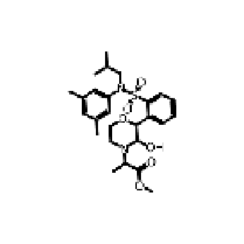 COC(=O)C(C)N1CCOC(c2ccccc2S(=O)(=O)N(CC(C)C)c2cc(C)cc(C)c2)C1O